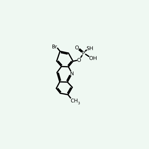 Cc1ccc2cc3cc(Br)cc(OP(=O)(O)S)c3nc2c1